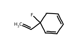 C=CC1(F)[CH]C=CC=C1